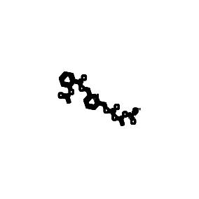 CC(=O)Oc1ccccc1C(=O)OCc1cccc(COC(=O)OC(C)O[N+](=O)[O-])n1